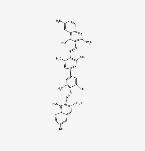 Cc1cc(-c2cc(C)c(/N=N/c3c(S(=O)(=O)O)cc4ccc(N)cc4c3O)c(C)c2)cc(C)c1/N=N/c1c(S(=O)(=O)O)cc2cc(N)ccc2c1O